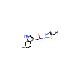 CCc1cnc(NC(=O)Cc2c[nH]c3cc(C)ccc23)s1